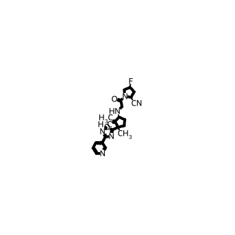 CC1(C)[C@H](NCC(=O)N2C[C@@H](F)C[C@H]2C#N)CC[C@]1(C)c1nc(-c2cccnc2)no1